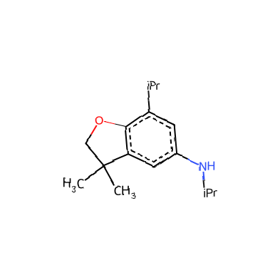 CC(C)Nc1cc(C(C)C)c2c(c1)C(C)(C)CO2